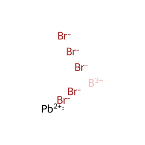 [B+3].[Br-].[Br-].[Br-].[Br-].[Br-].[Pb+2]